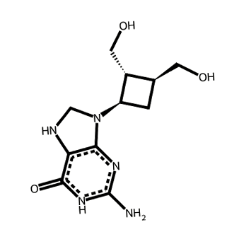 Nc1nc2c(c(=O)[nH]1)NCN2[C@@H]1C[C@H](CO)[C@H]1CO